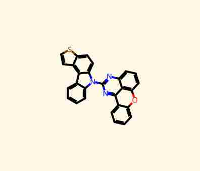 c1ccc2c(c1)Oc1cccc3nc(-n4c5ccccc5c5c6ccsc6ccc54)nc-2c13